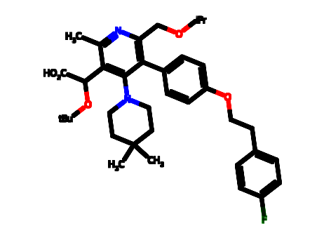 Cc1nc(COC(C)C)c(-c2ccc(OCCc3ccc(F)cc3)cc2)c(N2CCC(C)(C)CC2)c1C(OC(C)(C)C)C(=O)O